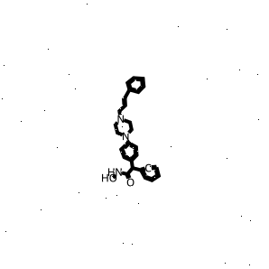 O=C(NO)C(c1ccccc1)c1ccc(N2CCN(CC=Cc3ccccc3)CC2)cc1